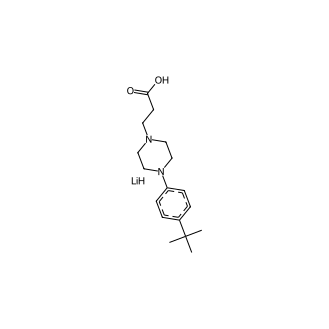 CC(C)(C)c1ccc(N2CCN(CCC(=O)O)CC2)cc1.[LiH]